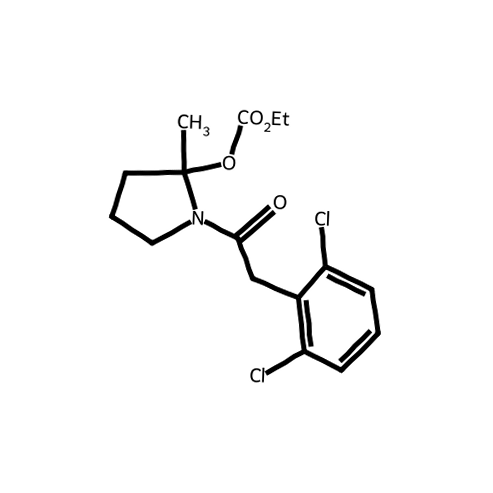 CCOC(=O)OC1(C)CCCN1C(=O)Cc1c(Cl)cccc1Cl